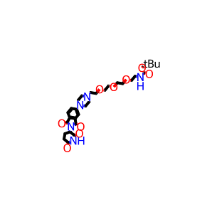 CC(C)(C)OC(=O)NCCOCCOCCOCCN1CCN(c2ccc3c(c2)C(=O)N(C2CCC(=O)NC2=O)C3=O)CC1